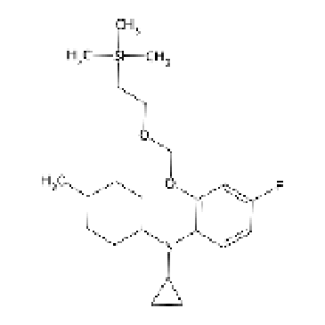 CC1CCC(N(c2ccc(F)cc2OCOCC[Si](C)(C)C)C2CC2)CC1